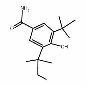 CCC(C)(C)c1cc(C(N)=O)cc(C(C)(C)C)c1O